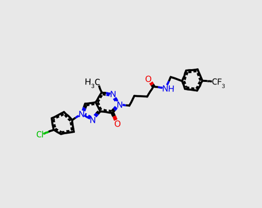 Cc1nn(CCCC(=O)NCc2ccc(C(F)(F)F)cc2)c(=O)c2nn(-c3ccc(Cl)cc3)cc12